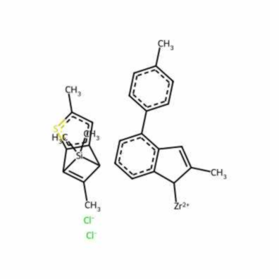 CC1=C2c3sc(C)cc3C1[Si]2(C)C.CC1=Cc2c(-c3ccc(C)cc3)cccc2[CH]1[Zr+2].[Cl-].[Cl-]